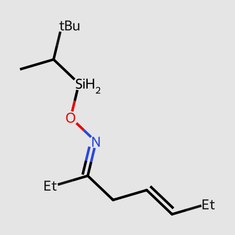 CCC=CCC(CC)=NO[SiH2]C(C)C(C)(C)C